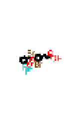 O=C(O)CCc1cc(Br)c(OCc2ccccc2OC(F)(F)F)c(Br)c1